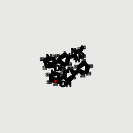 Cc1nc(-c2ccc(C3(O)CN4CCC3CC4)cc2)no1.OC1(c2ccc(-c3ccccc3)nc2)CN2CCC1CC2